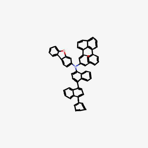 c1ccc(-c2ccc(-c3ccc(N(c4cccc(-c5cccc6cccc(-c7ccccc7)c56)c4)c4ccc5c(c4)oc4ccccc45)c4ccccc34)c3ccccc23)cc1